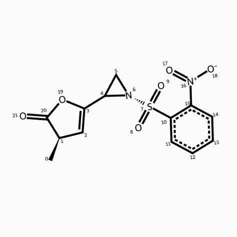 C[C@@H]1C=C(C2C[N@]2S(=O)(=O)c2ccccc2[N+](=O)[O-])OC1=O